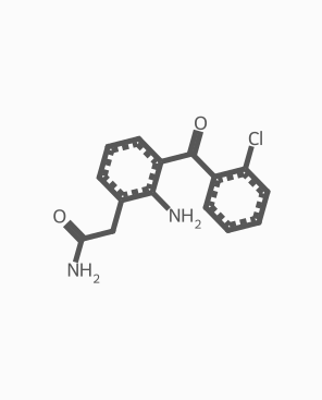 NC(=O)Cc1cccc(C(=O)c2ccccc2Cl)c1N